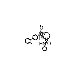 COC[C@@H]1[C@H](c2ccc(-c3ccccc3C)cc2)[C@H]2CN(C(=O)NC3CCCC3)CCCCN12